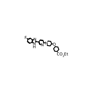 CCOC(=O)[C@H]1CC[C@H](OC2CCN(c3ccc(-c4nc5cc(F)ccc5[nH]4)cn3)CC2)CC1